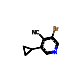 N#Cc1c(Br)cncc1C1CC1